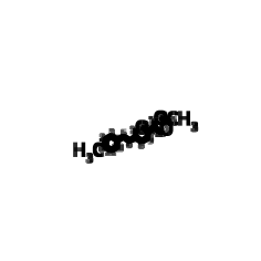 CC1=CCC(CCC2CCC(C3COC(C)OC3)OC2)CC1